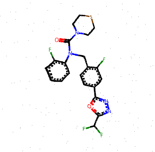 O=C(N1CCSCC1)N(Cc1ccc(-c2nnc(C(F)F)o2)cc1F)c1ccccc1F